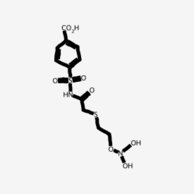 O=C(CSCCON(O)O)NS(=O)(=O)c1ccc(C(=O)O)cc1